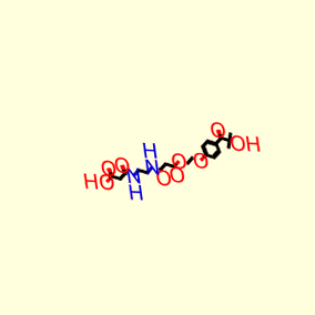 CC(C)(O)C(=O)c1ccc(OCCOC(=O)CC(=O)NCCNC(=O)CC(=O)O)cc1